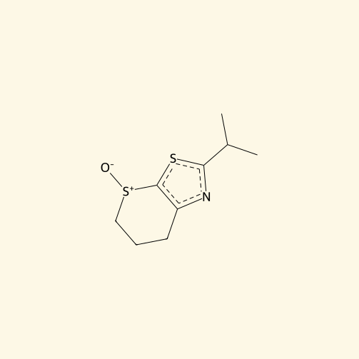 CC(C)c1nc2c(s1)[S+]([O-])CCC2